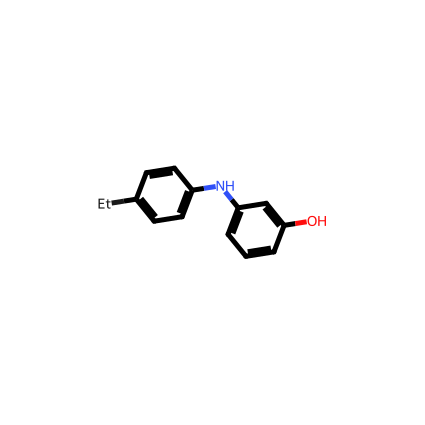 CCc1ccc(Nc2cccc(O)c2)cc1